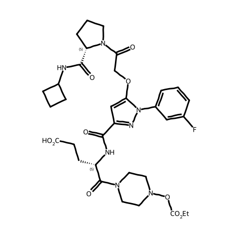 CCOC(=O)ON1CCN(C(=O)[C@H](CCC(=O)O)NC(=O)c2cc(OCC(=O)N3CCC[C@H]3C(=O)NC3CCC3)n(-c3cccc(F)c3)n2)CC1